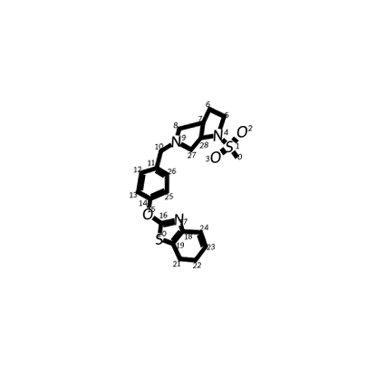 CS(=O)(=O)N1CCC2CN(Cc3ccc(Oc4nc5c(s4)CCC=C5)cc3)CC21